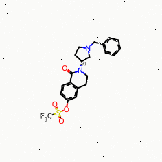 O=C1c2ccc(OS(=O)(=O)C(F)(F)F)cc2CCN1[C@@H]1CCN(Cc2ccccc2)C1